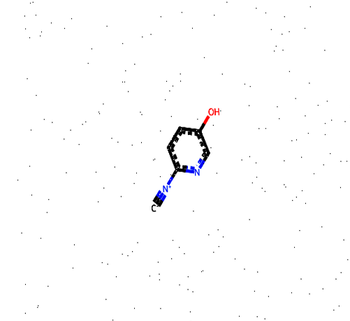 [C-]#[N+]c1ccc(O)cn1